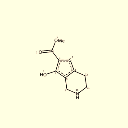 COC(=O)c1sc2c(c1O)CNCC2